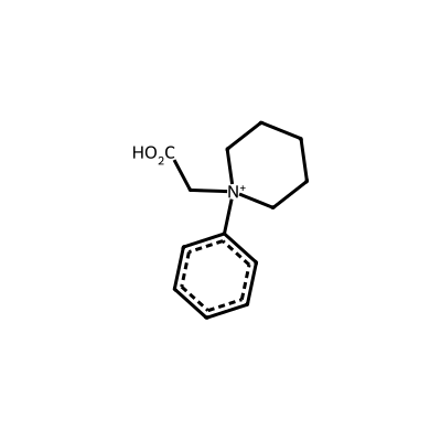 O=C(O)C[N+]1(c2ccccc2)CCCCC1